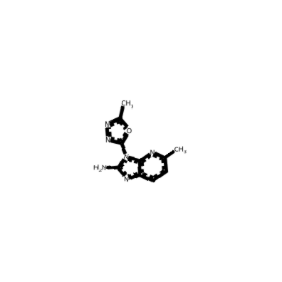 Cc1ccc2nc(N)n(-c3nnc(C)o3)c2n1